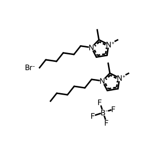 CCCCCCn1cc[n+](C)c1C.CCCCCCn1cc[n+](C)c1C.F[B-](F)(F)F.[Br-]